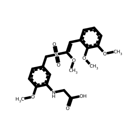 COC(=Cc1cccc(OC)c1OC)S(=O)(=O)Cc1ccc(OC)c(NCC(=O)O)c1